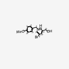 COc1ccc(CN2C=C(Br)C=C(CO)N2)cc1